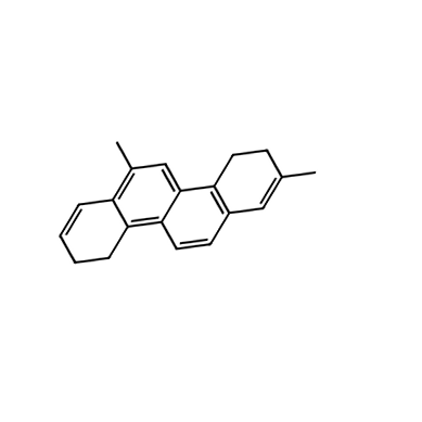 CC1=Cc2ccc3c4c(c(C)cc3c2CC1)C=CCC4